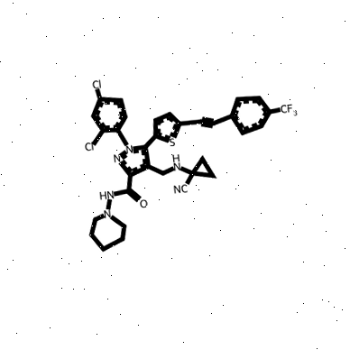 N#CC1(NCc2c(C(=O)NN3CCCCC3)nn(-c3ccc(Cl)cc3Cl)c2-c2ccc(C#Cc3ccc(C(F)(F)F)cc3)s2)CC1